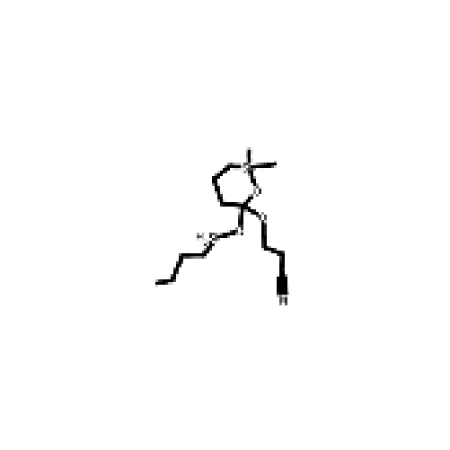 CCCC[SiH2]OC1(OCCC#N)CCC[Si](C)(C)O1